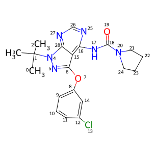 CC(C)(C)n1nc(Oc2cccc(Cl)c2)c2c(NC(=O)N3CCCC3)ncnc21